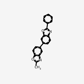 Cc1nc2cc(-c3ccc4nc(-c5ccccc5)oc4c3)ccc2o1